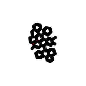 Cc1ccc2c(N(c3ccccc3)c3c4ccccc4cc4ccccc34)c3cc(C)c(C)cc3c(N(c3ccccc3)c3cccc4ccccc34)c2c1